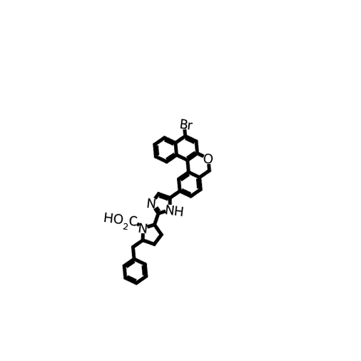 O=C(O)N1C(Cc2ccccc2)CCC1c1ncc(-c2ccc3c(c2)-c2c(cc(Br)c4ccccc24)OC3)[nH]1